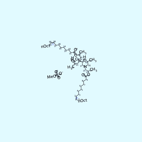 CCCCCCCC/C=C\CCCCCCCC(=O)OC(C)CN(CC[N+](C)(CC(C)O)CC(C)OC(=O)CCCCCCC/C=C\CCCCCCCC)CC(C)O.COS(=O)(=O)[O-]